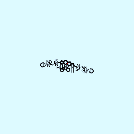 NN(c1cccc2cc(C3=N[C@H](Cc4nc(N5CCCCC5)no4)CS3)[nH]c12)C1(c2cccc3cc(C4=N[C@H](Cc5nc(N6CCCCC6)no5)CS4)[nH]c23)CCCC1C1CCCC1